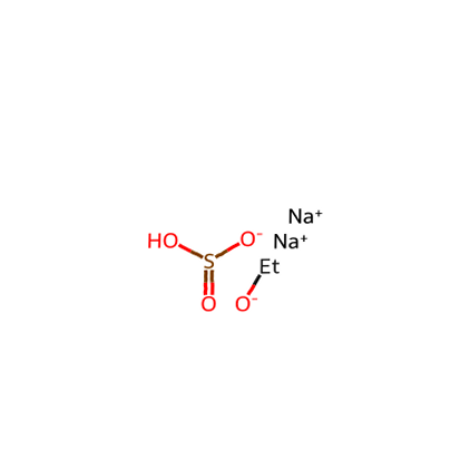 CC[O-].O=S([O-])O.[Na+].[Na+]